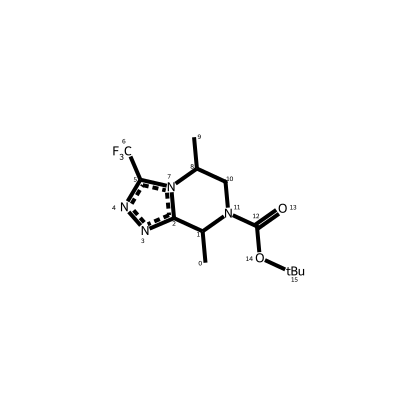 CC1c2nnc(C(F)(F)F)n2C(C)CN1C(=O)OC(C)(C)C